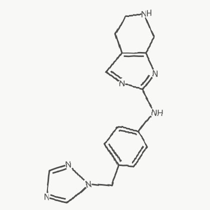 c1ncn(Cc2ccc(Nc3ncc4c(n3)CNCC4)cc2)n1